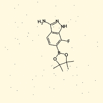 CC1(C)OB(c2ccc3c(N)n[nH]c3c2F)OC1(C)C